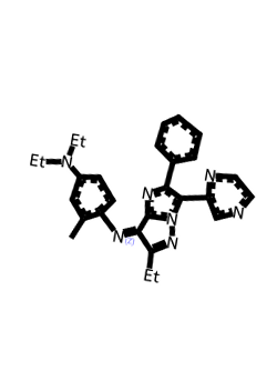 CCC1=Nn2c(nc(-c3ccccc3)c2-c2cnccn2)/C1=N\c1ccc(N(CC)CC)cc1C